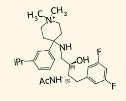 CC(=O)N[C@@H](Cc1cc(F)cc(F)c1)[C@H](O)CNC1(c2cccc(C(C)C)c2)CC[N+](C)(C)CC1